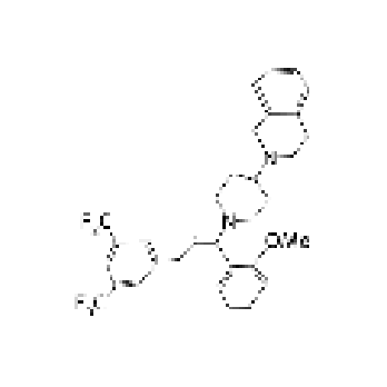 COc1ccccc1C([CH]Cc1cc(C(F)(F)F)cc(C(F)(F)F)c1)N1CCC(N2CCc3ccccc3C2)CC1